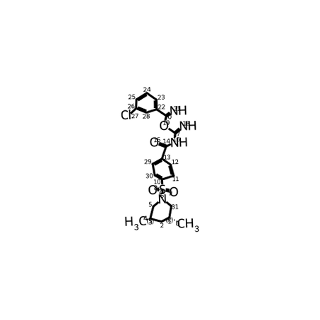 C[C@@H]1C[C@H](C)CN(S(=O)(=O)c2ccc(C(=O)NC(=N)OC(=N)c3cccc(Cl)c3)cc2)C1